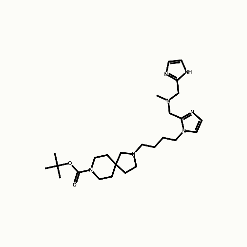 CN(Cc1ncc[nH]1)Cc1nccn1CCCCN1CCC2(CCN(C(=O)OC(C)(C)C)CC2)C1